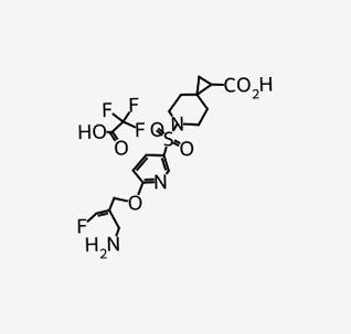 NC/C(=C\F)COc1ccc(S(=O)(=O)N2CCC3(CC2)CC3C(=O)O)cn1.O=C(O)C(F)(F)F